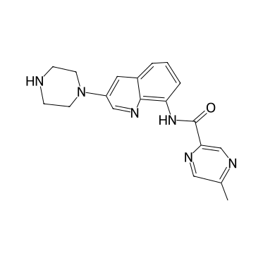 Cc1cnc(C(=O)Nc2cccc3cc(N4CCNCC4)cnc23)cn1